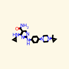 CC1(N2CCN(c3ccc(Nc4ncc(C(N)=O)c(NC5CC5)n4)cc3)CC2)CC1